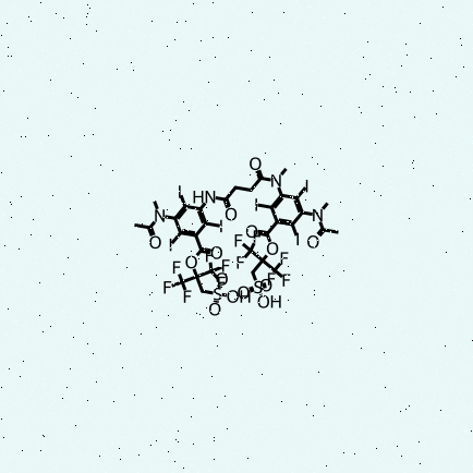 CC(=O)N(C)c1c(I)c(NC(=O)CCC(=O)N(C)c2c(I)c(C(=O)OC(CS(=O)(=O)O)(C(F)(F)F)C(F)(F)F)c(I)c(N(C)C(C)=O)c2I)c(I)c(C(=O)OC(CS(=O)(=O)O)(C(F)(F)F)C(F)(F)F)c1I